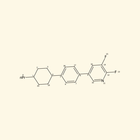 CCCC1CCC(c2ccc(-c3cnc(F)c(F)c3)cc2)CC1